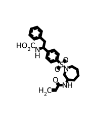 C=CC(=O)NC1CCCCN(S(=O)(=O)c2ccc(C(Cc3ccccc3)NC(=O)O)cc2)C1